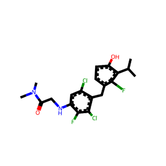 CC(C)c1c(O)ccc(Cc2c(Cl)cc(NCC(=O)N(C)C)c(F)c2Cl)c1F